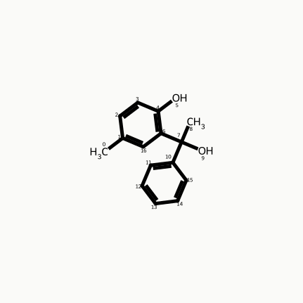 Cc1ccc(O)c(C(C)(O)c2ccccc2)c1